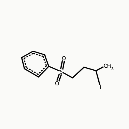 CC(I)CCS(=O)(=O)c1ccccc1